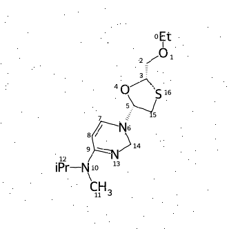 CCOC[C@H]1O[C@@H](N2C=CC(N(C)C(C)C)=NC2)CS1